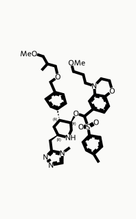 COCCCN1CCOc2ccc(C(O[C@H]3CN[C@@H](Cc4nncn4C)C[C@@H]3c3ccc(COCC(C)COC)cc3)S(=O)(=O)c3ccc(C)cc3)cc21